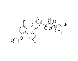 CN(CCF)S(=O)(=O)NC(=O)c1cnc2ccc(N3CC(F)CC3c3cc(F)ccc3OC3CCOC3)cn12